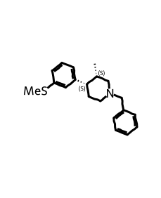 CSc1cccc([C@H]2CCN(Cc3ccccc3)C[C@H]2C)c1